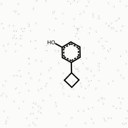 Oc1cccc(C2CCC2)c1